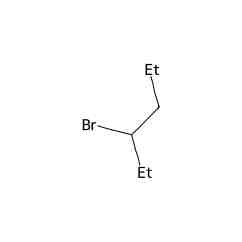 [CH2]CCC(Br)CC